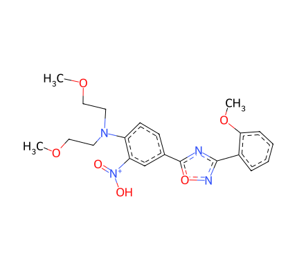 COCCN(CCOC)c1ccc(-c2nc(-c3ccccc3OC)no2)cc1[N+](=O)O